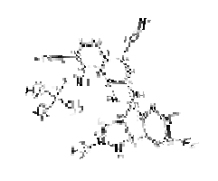 [2H][C@](Nc1cc(C#N)c2ncc(C#N)c(NCC(C)(C)C)c2c1)(c1ccc(F)nc1)c1cn(C)nn1